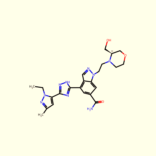 CCn1nc(C)cc1-c1n[nH]c(-c2cc(C(N)=O)cc3c2cnn3CCN2CCOC[C@@H]2CO)n1